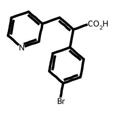 O=C(O)C(=Cc1cccnc1)c1ccc(Br)cc1